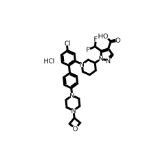 Cl.O=C(O)c1cnn(C2CCCN(c3cc(Cl)ccc3-c3ccc(N4CCN(C5COC5)CC4)cc3)C2)c1C(F)F